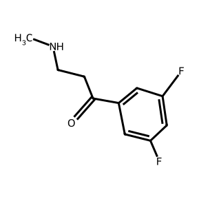 CNCCC(=O)c1cc(F)cc(F)c1